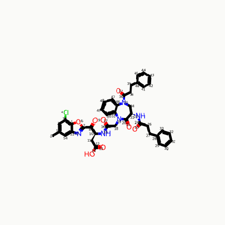 Cc1cc(Cl)c2oc(C(=O)[C@H](CC(=O)O)NC(=O)CN3C(=O)[C@@H](NC(=O)CCc4ccccc4)CN(C(=O)CCc4ccccc4)c4ccccc43)nc2c1